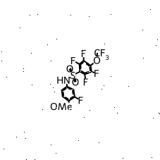 COc1ccc(NS(=O)(=O)c2c(F)c(F)c(OC(F)(F)F)c(F)c2F)cc1F